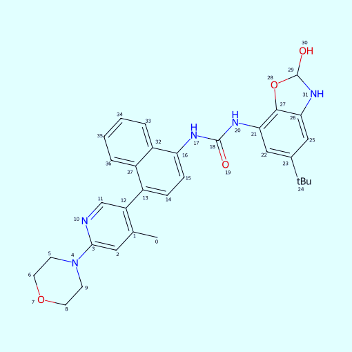 Cc1cc(N2CCOCC2)ncc1-c1ccc(NC(=O)Nc2cc(C(C)(C)C)cc3c2OC(O)N3)c2ccccc12